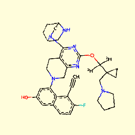 [2H]C([2H])(Oc1nc2c(c(N3CC4CCC3CN4)n1)CCN(c1cc(O)cc3ccc(F)c(C#C)c13)C2)C1(CN2CCCC2)CC1